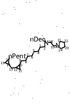 CCCCCCCCCCN(CCCCCCCCC1CC1CC1CC1CCCCC)CCN1CCCC1